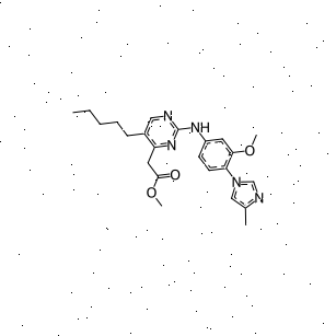 CCCCCc1cnc(Nc2ccc(-n3cnc(C)c3)c(OC)c2)nc1CC(=O)OC